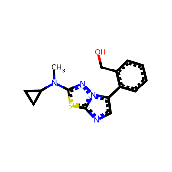 CN(c1nn2c(-c3ccccc3CO)cnc2s1)C1CC1